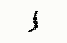 CCCC=CCOc1ccc(-c2ccc(-c3ccc(CCCCCC)cc3)cc2)s1